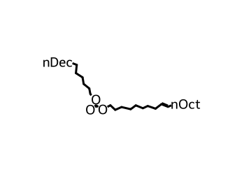 CCCCCCCCC=CCCCCCCCCOC(=O)OCCCCCCCCCCCCCCCC